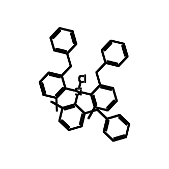 Cc1cccc(Cc2ccccc2)c1[Si](Cl)(c1c(C)cccc1Cc1ccccc1)c1c(C)cccc1Cc1ccccc1